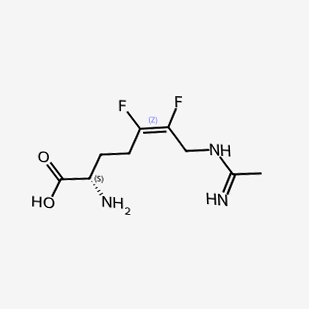 CC(=N)NC/C(F)=C(/F)CC[C@H](N)C(=O)O